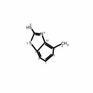 Cc1cccc2sc(S)nc12